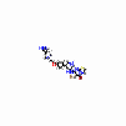 CN1C[C@H](Nc2nc3sccn3c(=O)c2Br)C[C@H](c2ccc(OCCN3CCC4(CC3)CNC4)cc2)C1